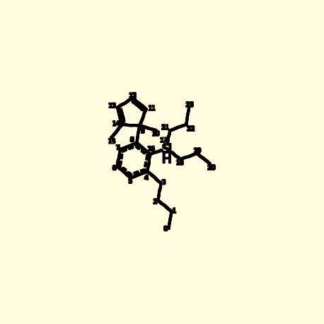 CCCCc1cc[c]c(C2(C)C=CC=C2C)c1[SiH](CCC)CCC